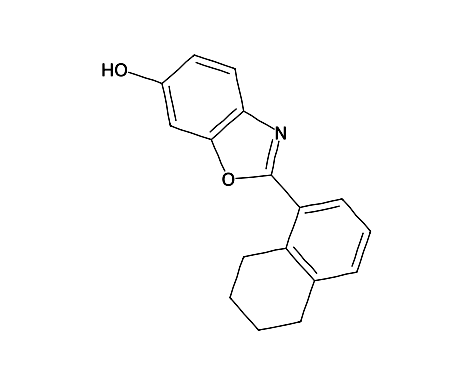 Oc1ccc2nc(-c3cccc4c3CCCC4)oc2c1